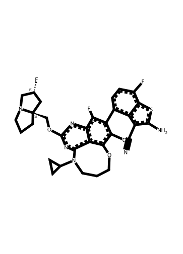 N#Cc1c(N)sc2c(F)ccc(-c3c(Cl)c4c5c(nc(OC[C@@]67CCCN6C[C@H](F)C7)nc5c3F)N(C3CC3)CCCO4)c12